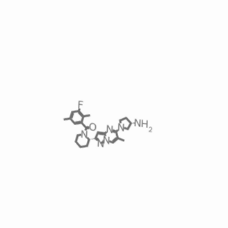 Cc1cc(F)c(C)c(C(=O)N2CCCC[C@H]2c2cc3nc(N4CC[C@H](N)C4)c(C)cn3n2)c1